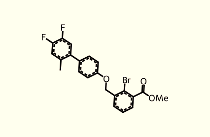 COC(=O)c1cccc(COc2ccc(-c3cc(F)c(F)cc3C)cc2)c1Br